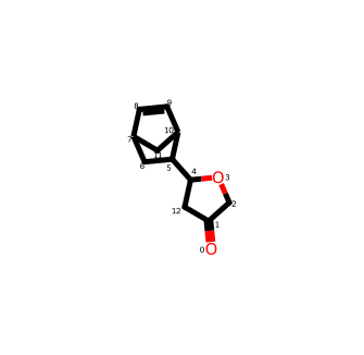 O=C1COC(C2CC3C=CC2C3)C1